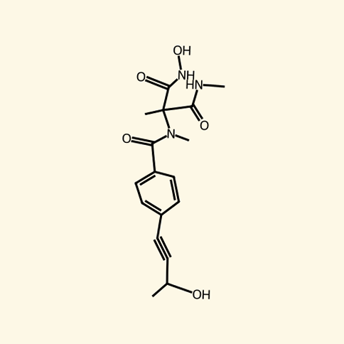 CNC(=O)C(C)(C(=O)NO)N(C)C(=O)c1ccc(C#CC(C)O)cc1